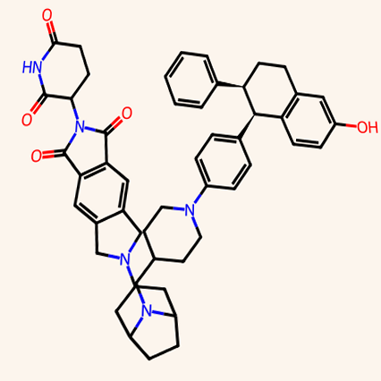 O=C1CCC(N2C(=O)c3cc4c(cc3C2=O)CN(C2CC3CCC(C2)N3CC2CCN(c3ccc([C@@H]5c6ccc(O)cc6CC[C@@H]5c5ccccc5)cc3)CC2)C4)C(=O)N1